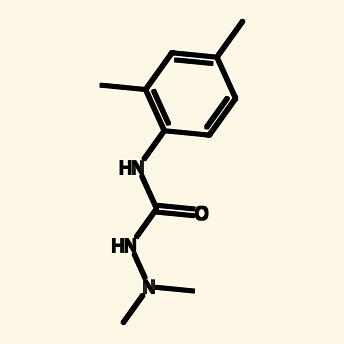 Cc1ccc(NC(=O)NN(C)C)c(C)c1